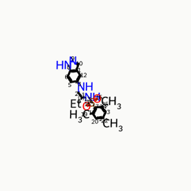 CC[C@@H](CNc1ccc2[nH]ncc2c1)NS(=O)(=O)c1c(C)cc(C)cc1C